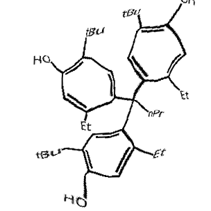 CCCC(c1cc(C(C)(C)C)c(O)cc1CC)(c1cc(C(C)(C)C)c(O)cc1CC)c1cc(C(C)(C)C)c(O)cc1CC